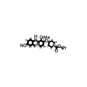 COc1c(OC2CCN(C(=O)OC(C)C)CC2)ccnc1Nc1ccc(C#N)cc1F